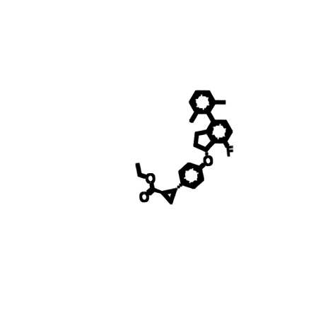 CCOC(=O)[C@@H]1C[C@H]1c1ccc(O[C@@H]2CCc3c(-c4c(C)cccc4C)ccc(F)c32)cc1